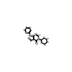 O=c1c2cnn(-c3ccccn3)c2ncn1C1CCCCC1